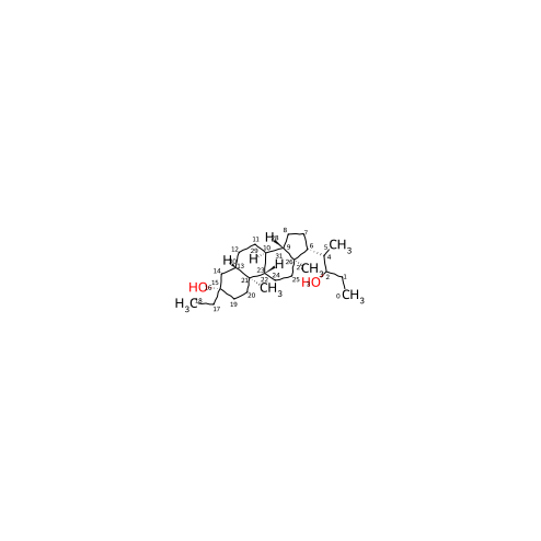 CCC(O)C(C)[C@H]1CC[C@H]2[C@@H]3CC[C@H]4C[C@](O)(CC)CC[C@]4(C)[C@H]3CC[C@]12C